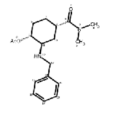 CC(=O)O[C@@H]1CC[C@H](C(=O)N(C)C)C[C@H]1NCc1ccccc1